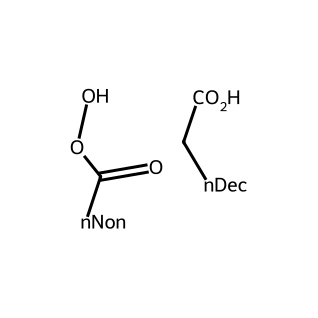 CCCCCCCCCC(=O)OO.CCCCCCCCCCCC(=O)O